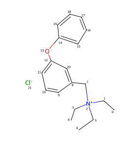 CC[N+](CC)(CC)Cc1cccc(Oc2ccccc2)c1.[Cl-]